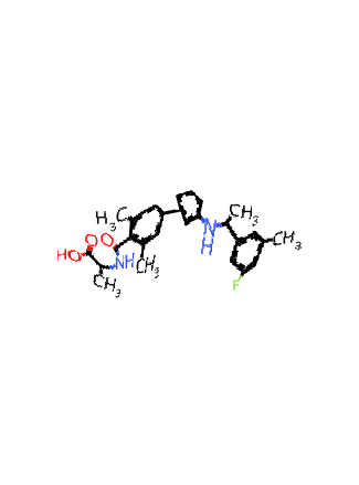 Cc1cc(F)cc(C(C)Nc2cccc(-c3cc(C)c(C(=O)N[C@@H](C)C(=O)O)c(C)c3)c2)c1